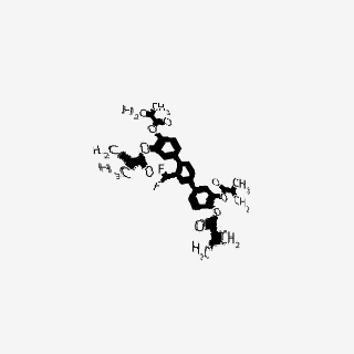 C=C(C)C(=O)Oc1ccc(-c2ccc(-c3ccc(OC(=O)C(=C)C)c(OC(=O)C(=C)C)c3)c(C(F)F)c2)cc1OC(=O)C(=C)C